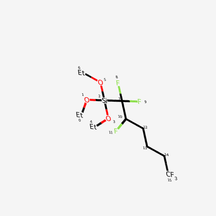 CCO[Si](OCC)(OCC)C(F)(F)C(F)CCCC(F)(F)F